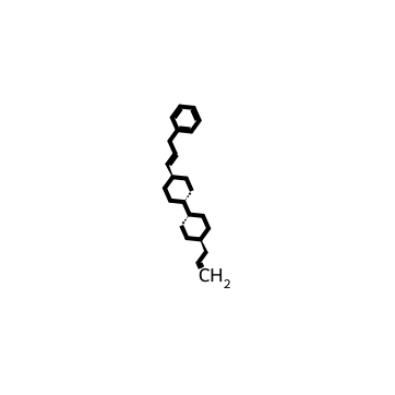 C=CC[C@H]1CC[C@H]([C@H]2CC[C@H](C=CCc3ccccc3)CC2)CC1